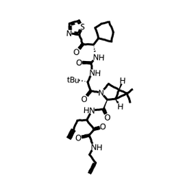 C#CCC(NC(=O)[C@@H]1[C@@H]2[C@H](CN1C(=O)[C@@H](NC(=O)N[C@H](C(=O)c1nccs1)C1CCCCC1)C(C)(C)C)C2(C)C)C(=O)C(=O)NCC=C